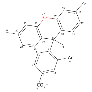 CC(=O)c1cc(C(=O)O)ccc1C1(C)c2ccc(C)cc2Oc2cc(C)ccc21